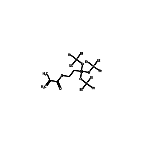 C=C(C)C(=O)OCC[Si](O[Si](CC)(CC)CC)(O[Si](CC)(CC)CC)O[Si](CC)(CC)CC